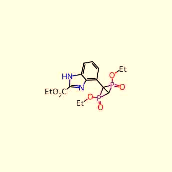 CCOC(=O)c1nc2c(C34C(P3(=O)OCC)P4(=O)OCC)cccc2[nH]1